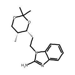 C[C@@H]1COC(C)(C)O[C@@H]1CCn1c(N)nc2ccccc21